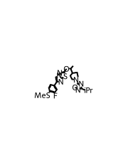 CSc1ccc(-c2cn3nc(OC(C)C4CCN(c5nc(C(C)C)no5)CC4)sc3n2)cc1F